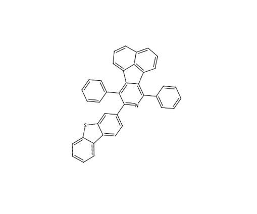 c1ccc(-c2nc(-c3ccc4c(c3)sc3ccccc34)c(-c3ccccc3)c3c2-c2cccc4cccc-3c24)cc1